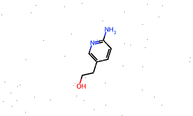 Nc1ccc(CCO)cn1